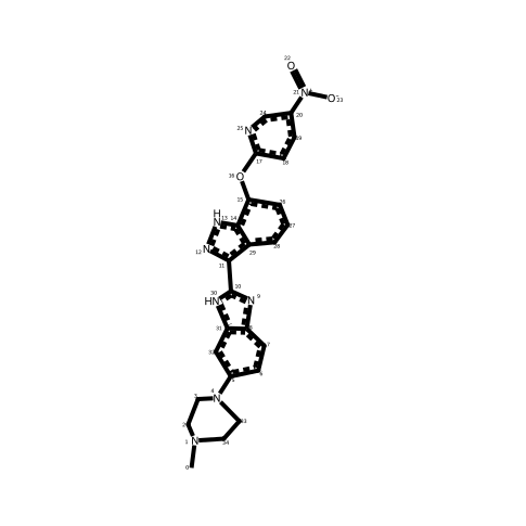 CN1CCN(c2ccc3nc(-c4n[nH]c5c(Oc6ccc([N+](=O)[O-])cn6)cccc45)[nH]c3c2)CC1